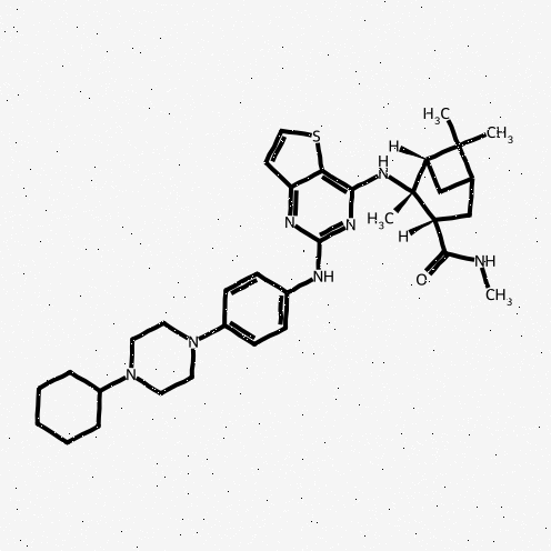 CNC(=O)[C@H]1CC2C[C@@H](C2(C)C)[C@@]1(C)Nc1nc(Nc2ccc(N3CCN(C4CCCCC4)CC3)cc2)nc2ccsc12